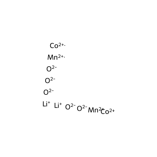 [Co+2].[Co+2].[Li+].[Li+].[Mn+2].[Mn+2].[O-2].[O-2].[O-2].[O-2].[O-2]